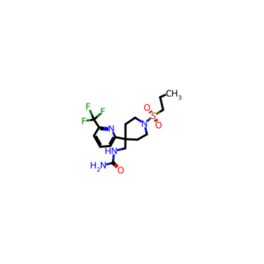 CCCS(=O)(=O)N1CCC(CNC(N)=O)(c2cccc(C(F)(F)F)n2)CC1